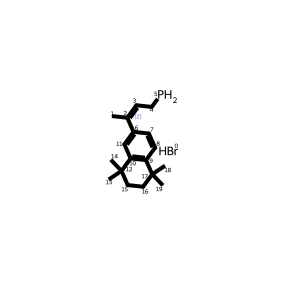 Br.C/C(=C/CP)c1ccc2c(c1)C(C)(C)CCC2(C)C